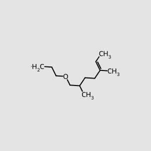 [CH2]CCOCC(C)CCC(C)=CC